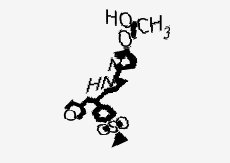 CC(O)COc1ccc(-c2ccc(C(CC3CCOCC3)c3ccc(S(=O)(=O)C4CC4)cc3)[nH]2)nc1